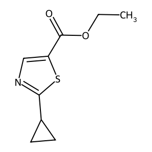 CCOC(=O)c1cnc(C2CC2)s1